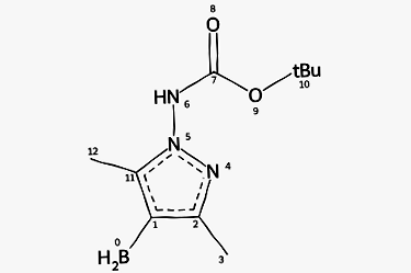 Bc1c(C)nn(NC(=O)OC(C)(C)C)c1C